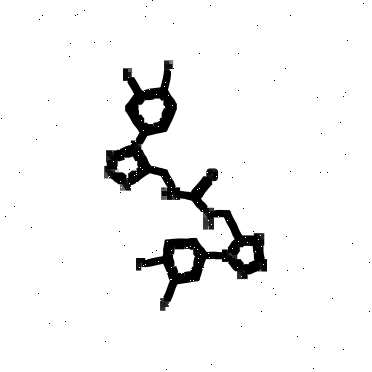 O=C(NCc1nnnn1-c1ccc(F)c(F)c1)NCc1nnnn1-c1ccc(F)c(F)c1